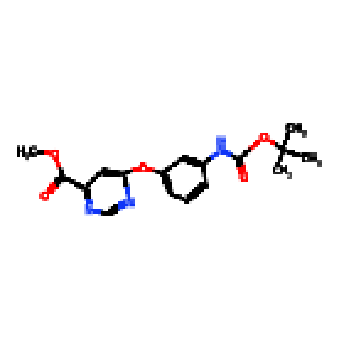 COC(=O)c1cc(Oc2cccc(NC(=O)OC(C)(C)C)c2)ncn1